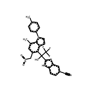 Cc1ccc(-n2ccc3c(C(O)(c4nc5cc(C#N)ccc5[nH]4)C(F)(F)F)c(C[SH](=O)=O)cc(C)c32)cc1